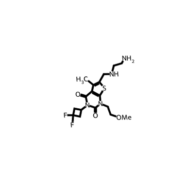 COCCn1c(=O)n(C2CC(F)(F)C2)c(=O)c2c(C)c(CNCCN)sc21